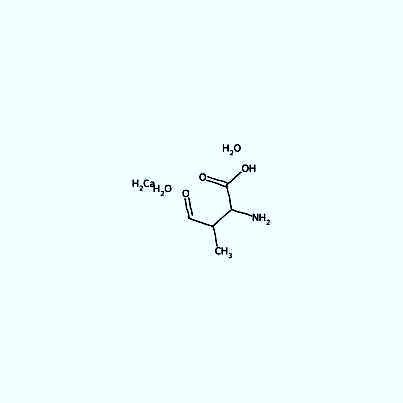 CC(C=O)C(N)C(=O)O.O.O.[CaH2]